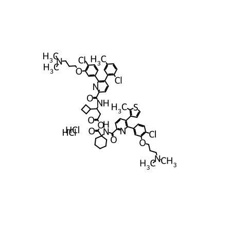 Cc1ccc(Cl)c(-c2ccc(C(=O)NC(CC(=O)OC(=O)C3(NC(=O)c4ccc(-c5ccsc5C)c(-c5ccc(Cl)c(OCCCN(C)C)c5)n4)CCCCC3)C3CCC3)nc2-c2ccc(Cl)c(OCCCN(C)C)c2)c1.Cl.Cl